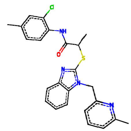 Cc1ccc(NC(=O)C(C)Sc2nc3ccccc3n2Cc2cccc(C)n2)c(Cl)c1